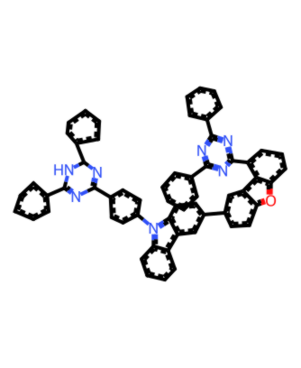 c1ccc(C2=NC(c3ccc(-n4c5ccccc5c5cc(-c6ccc7oc8cccc(-c9nc(-c%10ccccc%10)nc(-c%10ccccc%10)n9)c8c7c6)ccc54)cc3)=NC(c3ccccc3)N2)cc1